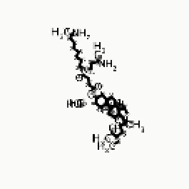 CC[C@H](CC[C@@H](C)[C@H]1CC[C@H]2[C@@H]3CC=C4C[C@@H](OC(=O)CCC(=O)N(CCCCCCCC(C)N)CCC(C)N)CC[C@]4(C)[C@H]3CC[C@]12C)C(C)C.Cl.Cl